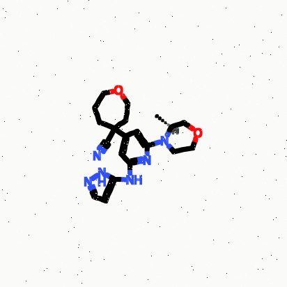 C[C@@H]1COCCN1c1cc(C2(C#N)CCCOCC2)cc(Nc2ccn[nH]2)n1